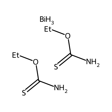 CCOC(N)=S.CCOC(N)=S.[BiH3]